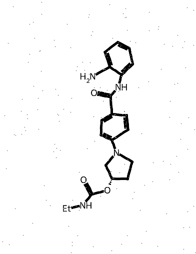 CCNC(=O)O[C@H]1CCN(c2ccc(C(=O)Nc3ccccc3N)cc2)C1